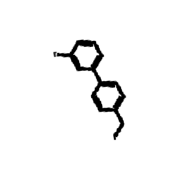 Fc1cccc(-c2ccc(CI)cc2)c1